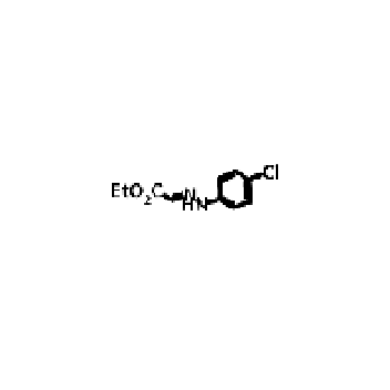 CCOC(=O)C=NNc1ccc(Cl)cc1